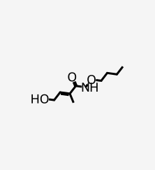 CCCCONC(=O)/C(C)=C/CO